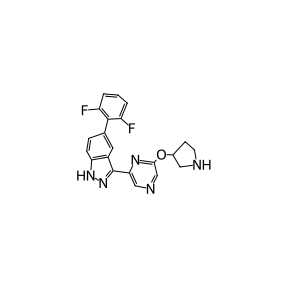 Fc1cccc(F)c1-c1ccc2[nH]nc(-c3cncc(OC4CCNC4)n3)c2c1